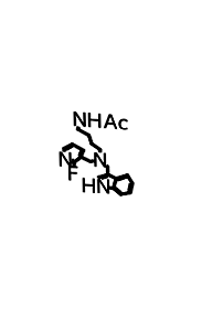 CC(=O)NCCCCN(Cc1cccnc1F)Cc1c[nH]c2ccccc12